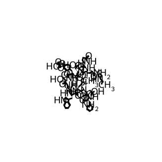 CCNCC.CSCC[C@H](NC(=O)[C@H](Cc1c[nH]c2ccccc12)NC(=O)CNC(=O)[C@@H](NC(=O)[C@H](Cc1ccc(OS(=O)(=O)O)cc1)NC(=O)[C@H](CC(=O)O)NC(=O)[C@H](CCC(N)=O)NC(=O)[C@@H]1CCC(=O)N1)[C@@H](C)O)C(=O)N[C@@H](CC(=O)O)C(=O)N[C@@H](Cc1ccccc1)C(N)=O